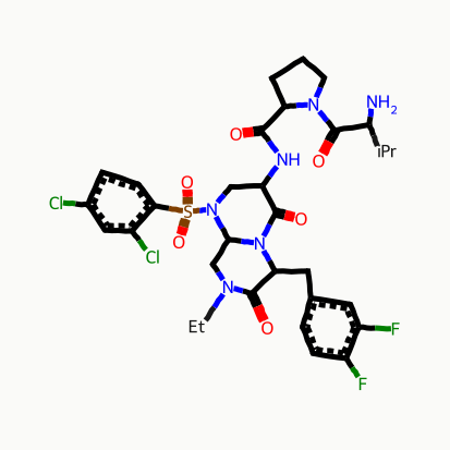 CCN1CC2N(C(=O)C(NC(=O)C3CCCN3C(=O)C(N)C(C)C)CN2S(=O)(=O)c2ccc(Cl)cc2Cl)C(Cc2ccc(F)c(F)c2)C1=O